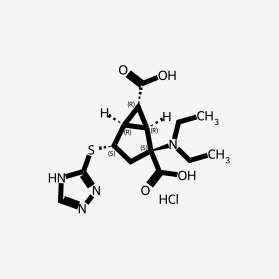 CCN(CC)[C@@]1(C(=O)O)C[C@H](Sc2nnc[nH]2)[C@H]2[C@H](C(=O)O)[C@H]21.Cl